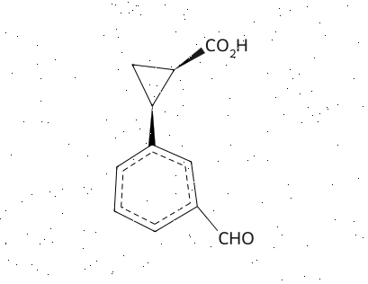 O=Cc1cccc([C@H]2C[C@H]2C(=O)O)c1